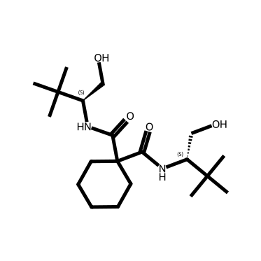 CC(C)(C)[C@@H](CO)NC(=O)C1(C(=O)N[C@H](CO)C(C)(C)C)CCCCC1